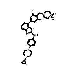 O=S1(=O)CCN(Cc2c(F)cc(-c3cccc4nc(Nc5ccc(N6CCN(C7CC7)CC6)cc5)oc34)cc2F)CC1